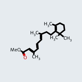 COC(=O)C=C(C)C=CC=C(C)CCC1=C(C)CCCC1(C)C